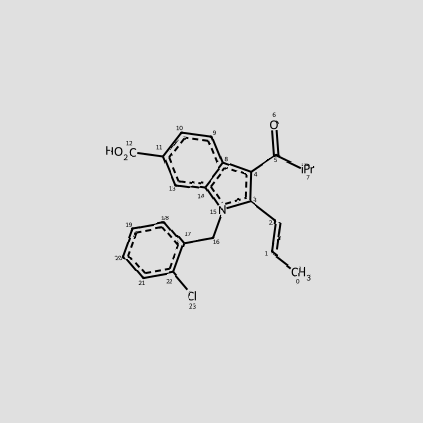 CC=Cc1c(C(=O)C(C)C)c2ccc(C(=O)O)cc2n1Cc1ccccc1Cl